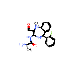 C[C@H](N)C(=O)NC1N=C(c2ccccc2F)c2ccccc2N(C)C1C=O